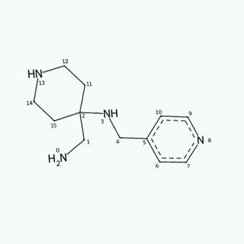 NCC1(NCc2ccncc2)CCNCC1